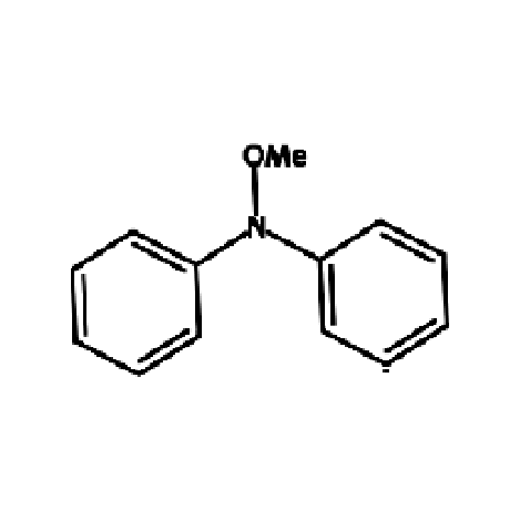 CON(c1c[c]ccc1)c1ccccc1